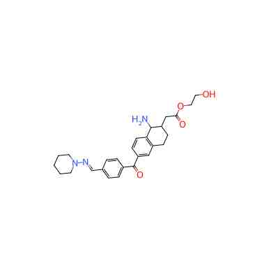 NC1c2ccc(C(=O)c3ccc(C=NN4CCCCC4)cc3)cc2CCC1CC(=O)OCCO